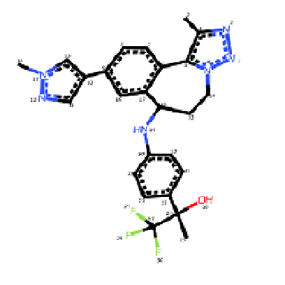 Cc1nnn2c1-c1ccc(-c3cnn(C)c3)cc1C(Nc1ccc(C(C)(O)C(F)(F)F)cc1)CC2